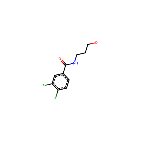 [O]CCCNC(=O)c1ccc(F)c(F)c1